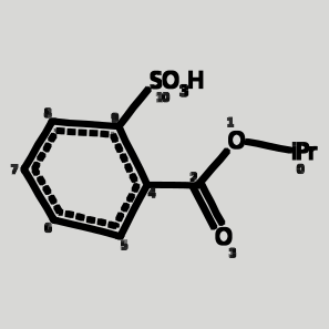 CC(C)OC(=O)c1ccccc1S(=O)(=O)O